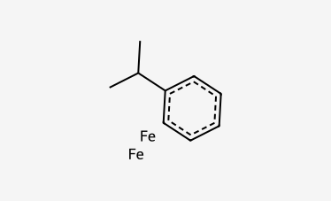 CC(C)c1ccccc1.[Fe].[Fe]